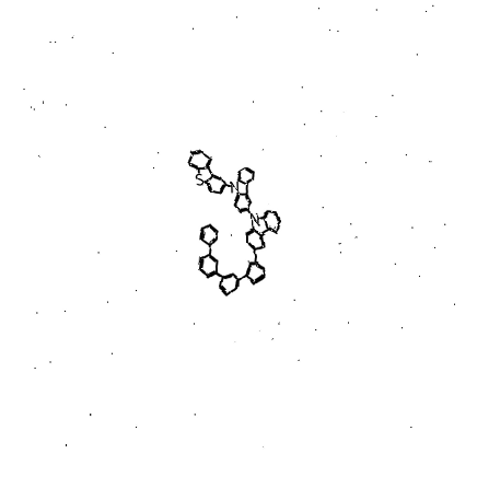 c1ccc(-c2cccc(-c3cccc(-c4cccc(-c5ccc6c(c5)c5ccccc5n6-c5ccc6c(c5)c5ccccc5n6-c5ccc6sc7ccccc7c6c5)c4)c3)c2)cc1